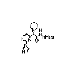 CCCCCCNC(=O)C(c1ccnc(-n2ccnc2)n1)N1CCCCC1